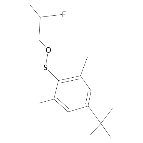 Cc1cc(C(C)(C)C)cc(C)c1SOCC(C)F